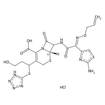 C=CCON=C(C(=O)NC1C(=O)N2C(C(=O)O)=C(C(CCO)Sc3nnn[nH]3)CS[C@@H]12)c1csc(N)n1.Cl